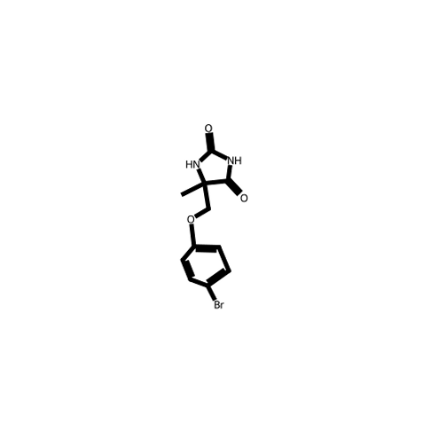 CC1(COc2ccc(Br)cc2)NC(=O)NC1=O